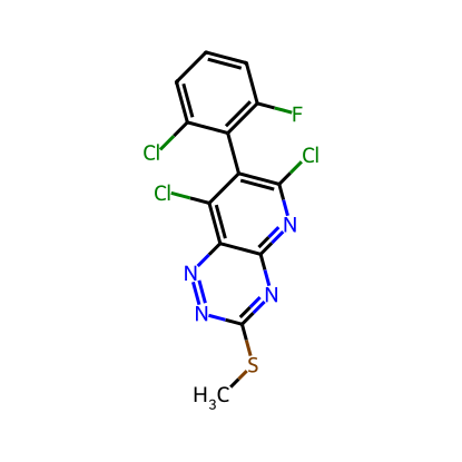 CSc1nnc2c(Cl)c(-c3c(F)cccc3Cl)c(Cl)nc2n1